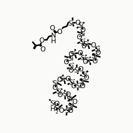 C=C(C)C(=O)OCCNC(=O)OCCC[Si](C)(C)O[Si](C)(C)O[Si](C)(C)O[Si](C)(C)O[Si](C)(C)O[Si](C)(C)O[Si](C)(C)O[Si](C)(C)O[Si](C)(C)O[Si](C)(C)O[Si](C)(C)O[Si](C)(C)O[Si](C)(C)O[Si](C)(C)O[Si](C)(C)O[Si](C)(C)O[Si](C)(C)O[Si](C)(C)O[Si](C)(C)O[Si](C)(C)O[Si](C)(C)O[Si](C)(C)O[Si](C)(C)O[Si](C)(C)O[Si](C)(C)O[SiH2]C